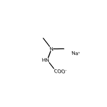 CN(C)NC(=O)[O-].[Na+]